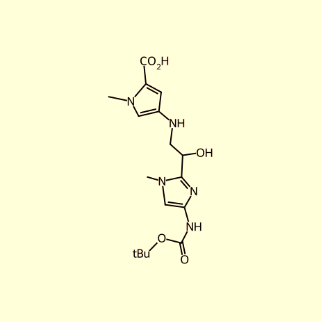 Cn1cc(NCC(O)c2nc(NC(=O)OC(C)(C)C)cn2C)cc1C(=O)O